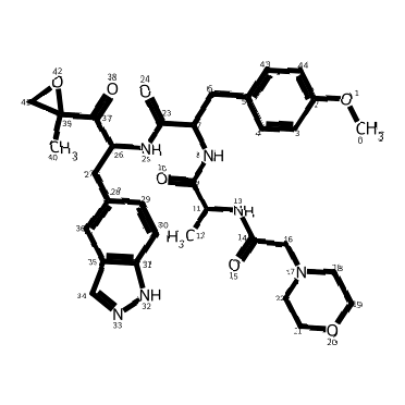 COc1ccc(CC(NC(=O)C(C)NC(=O)CN2CCOCC2)C(=O)NC(Cc2ccc3[nH]ncc3c2)C(=O)C2(C)CO2)cc1